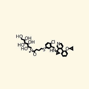 CN(C[C@H](O)[C@@H](O)[C@H](O)[C@H](O)CO)C(=O)CCCSc1ccc(Cl)c(CNC2(c3cnccc3-c3ccccc3OC3CC3)CC2)c1